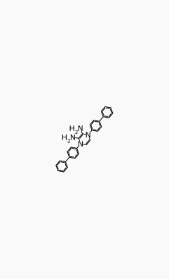 NC1=C(N)N(c2ccc(-c3ccccc3)cc2)C=CN1c1ccc(-c2ccccc2)cc1